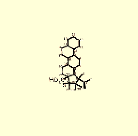 C=C(C)C1(C)C2C3CCC4C5CCCCC5CCC4C3CCC2(C(=O)O)C(C)(C)C1(C)C